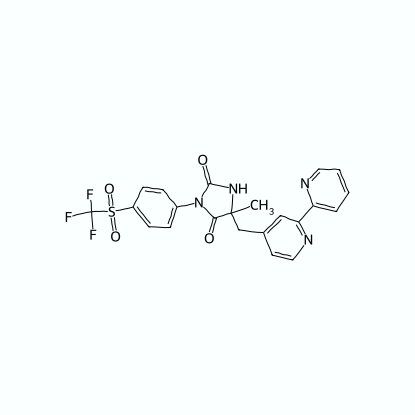 CC1(Cc2ccnc(-c3ccccn3)c2)NC(=O)N(c2ccc(S(=O)(=O)C(F)(F)F)cc2)C1=O